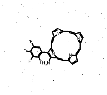 NC1=C(c2cc(F)c(F)c(F)c2F)C2=NC1=CC1=NC(=CC3=NC(=CC4=NC(=C2)C=C4)C=C3)C=C1